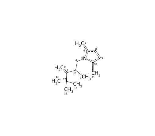 C=C(C(C)Cn1c(=C)ccc1=C)C(C)(C)C